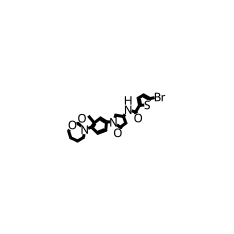 Cc1cc(N2CC(NC(=O)c3ccc(Br)s3)CC2=O)ccc1N1CCCCOC1=O